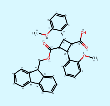 COc1ccccc1[C@@H]1C(C(=O)O)[C@@H](c2ccccc2OC)C1C(=O)OCC1c2ccccc2-c2ccccc21